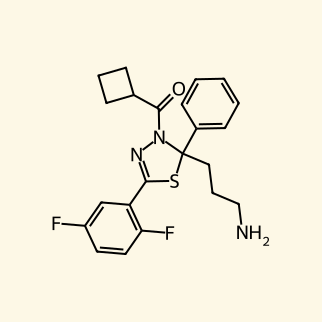 NCCCC1(c2ccccc2)SC(c2cc(F)ccc2F)=NN1C(=O)C1CCC1